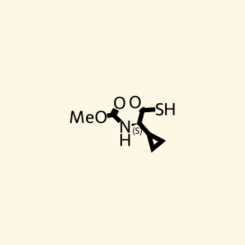 COC(=O)N[C@H](C(=O)S)C1CC1